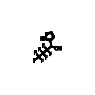 OC(c1ccc[nH]1)C(F)(F)C(F)(F)C(F)(F)F